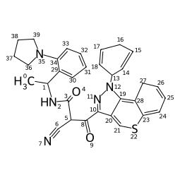 CC(NC(=O)C(C#N)C(=O)c1nn(C2C=CCC=C2)c2c1=CSC1=CC=CCC=21)c1ccccc1N1CCCC1